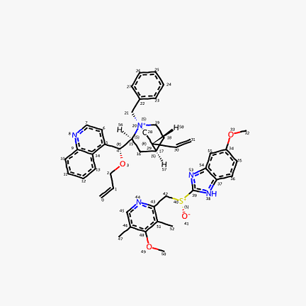 C=CCO[C@H](c1ccnc2ccccc12)[C@@H]1C[C@@H]2CC[N@@+]1(Cc1ccccc1)C[C@@H]2C=C.COc1ccc2[nH]c([S@+]([O-])Cc3ncc(C)c(OC)c3C)nc2c1